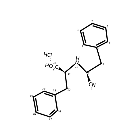 Cl.N#C[C@H](Cc1ccccc1)N[C@@H](Cc1ccccc1)C(=O)O